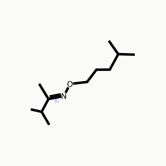 C/C(=N\OCCCC(C)C)C(C)C